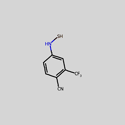 N#Cc1ccc(NS)cc1C(F)(F)F